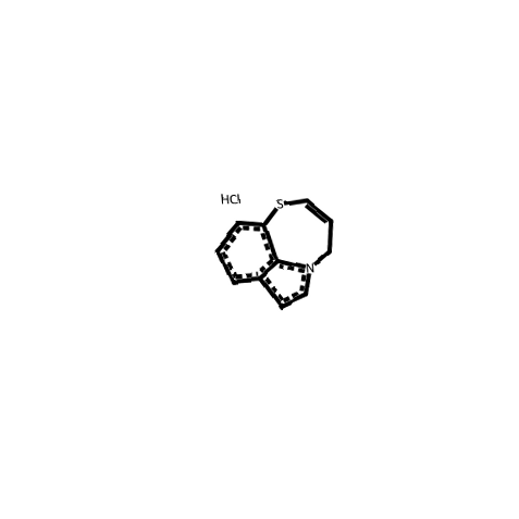 C1=CSc2cccc3ccn(c23)C1.Cl